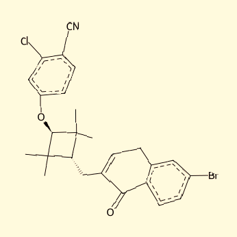 CC1(C)[C@H](CC2=CCc3cc(Br)ccc3C2=O)C(C)(C)[C@H]1Oc1ccc(C#N)c(Cl)c1